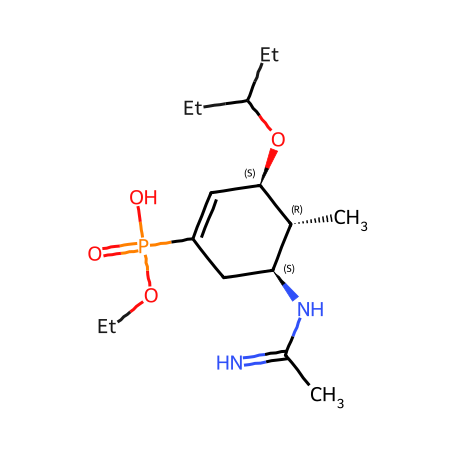 CCOP(=O)(O)C1=C[C@@H](OC(CC)CC)[C@H](C)[C@@H](NC(C)=N)C1